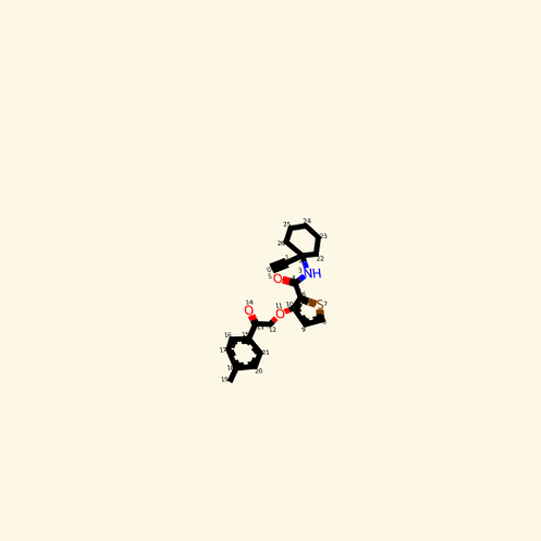 C#CC1(NC(=O)c2sccc2OCC(=O)c2ccc(C)cc2)CCCCC1